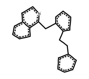 c1ccc(CCc2ccccc2Cc2nccc3ccccc23)cc1